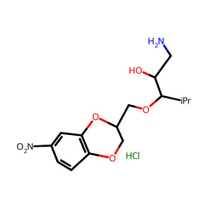 CC(C)C(OCC1COc2ccc([N+](=O)[O-])cc2O1)C(O)CN.Cl